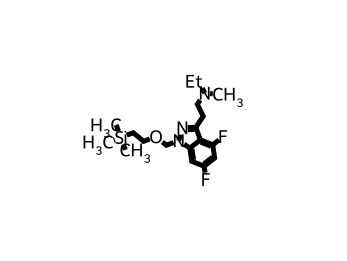 CCN(C)CCc1nn(COCC[Si](C)(C)C)c2cc(F)cc(F)c12